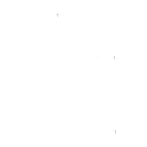 CCCCCc1cc(C2(c3ccc(O)cc3)CCCCCC2)ccc1O